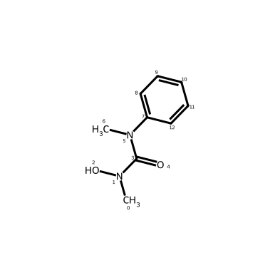 CN(O)C(=O)N(C)c1ccccc1